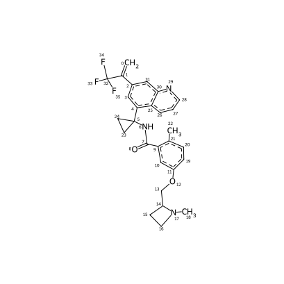 C=C(c1cc(C2(NC(=O)c3cc(OCC4CCN4C)ccc3C)CC2)c2cccnc2c1)C(F)(F)F